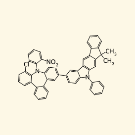 CC1(C)c2ccccc2-c2cc3c4cc(-c5ccc6c(c5)-c5ccccc5-c5cccc(Cl)c5N6c5ccccc5[N+](=O)[O-])ccc4n(-c4ccccc4)c3cc21